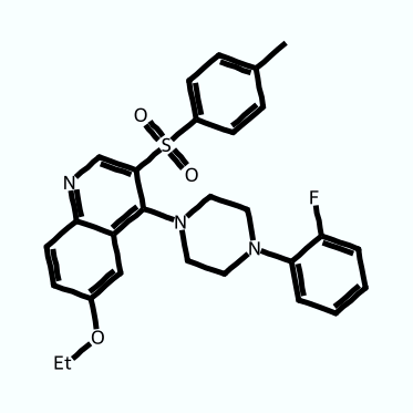 CCOc1ccc2ncc(S(=O)(=O)c3ccc(C)cc3)c(N3CCN(c4ccccc4F)CC3)c2c1